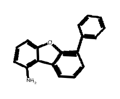 Nc1cccc2oc3c(-c4ccccc4)cccc3c12